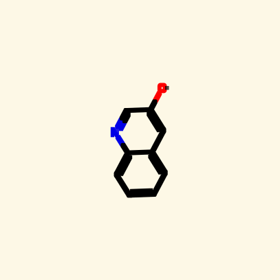 [O]c1cnc2ccccc2c1